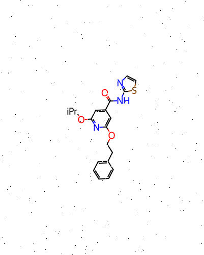 CC(C)Oc1cc(C(=O)Nc2nccs2)cc(OCCc2ccccc2)n1